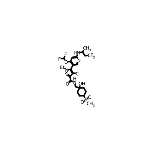 CCn1nc(C(=O)NCC2(O)CCC(S(C)(=O)=O)CC2)c(Cl)c1-c1cnc(NC(C)CC(F)(F)F)cc1OC(F)F